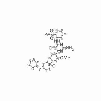 COc1cc(P2(=O)CCN(Cc3ccccc3)CC2)ccc1-c1nc(N)nc(Nc2ccccc2S(=O)(=O)C(C)C)c1Cl